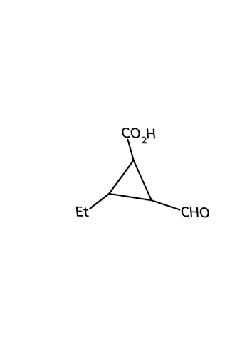 CCC1C(C=O)C1C(=O)O